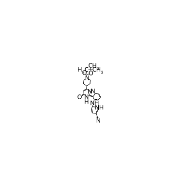 CC(C)(C)OC(=O)N1CCC(c2cc(=O)[nH]c3c4c(NC5C=CC(C#N)=CN5)cccc4nn23)CC1